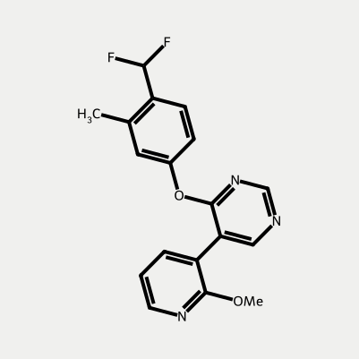 COc1ncccc1-c1cncnc1Oc1ccc(C(F)F)c(C)c1